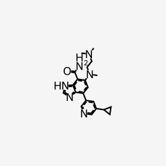 CN(C)CCN(C)c1cc(-c2cncc(C3CC3)c2)c2nc[nH]c2c1C(N)=O